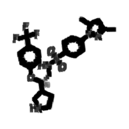 Cc1cc(C)n(-c2ccc(S(=O)(=O)NC[C@@H](Oc3ccc(C(F)(F)F)cc3)C3CCNC3)cc2)n1